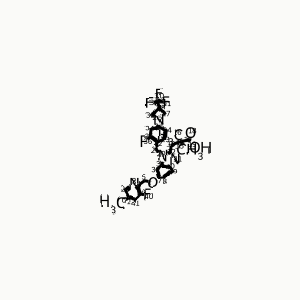 Cc1cnc(COc2ccc3nc(CC(C)(C)C(=O)O)n(Cc4ccc(N5CC(C(F)(F)F)C5)cc4F)c3c2)c(F)c1